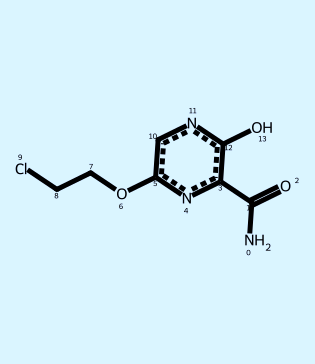 NC(=O)c1nc(OCCCl)cnc1O